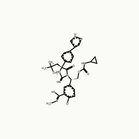 C/N=C(\S)c1cc([C@@H](COC(=O)NC2CC2)N2C(=N)N[C@](CC(C)(C)C)(c3ccc(-c4cn[nH]c4)cc3)C2=O)ccc1Cl